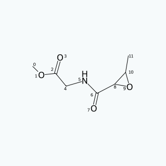 COC(=O)CNC(=O)C1OC1C